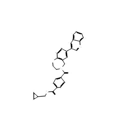 O=C(NCC1CC1)c1ccc(C(=O)N2CCOc3ccc(-c4cnc5ccccc5c4)cc3C2)cc1